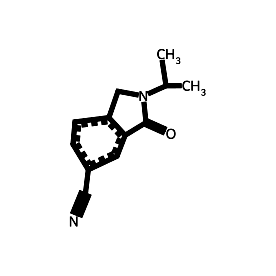 CC(C)N1Cc2ccc(C#N)cc2C1=O